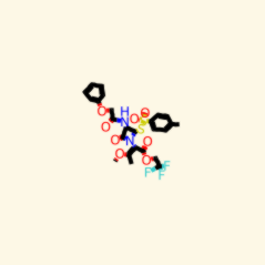 COC(C)=C(C(=O)OCC(F)(F)F)N1C(=O)C(NC(=O)COc2ccccc2)C1SS(=O)(=O)c1ccc(C)cc1